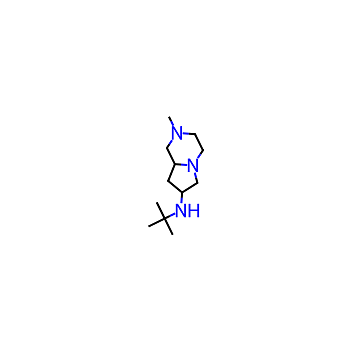 CN1CCN2CC(NC(C)(C)C)CC2C1